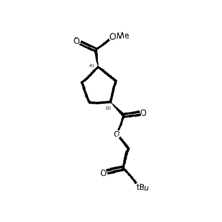 COC(=O)[C@@H]1CC[C@H](C(=O)OCC(=O)C(C)(C)C)C1